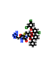 O=C(Cc1nnn[nH]1)NC1C(=O)N2C(C(=O)OC(c3ccccc3)c3ccccc3)=C(COc3cc(Cl)ccc3Oc3ccc(Cl)cc3Cl)CS[C@@H]12